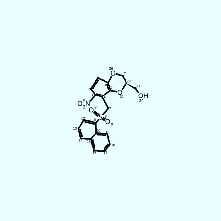 O=[N+]([O-])c1ccc2c(c1CS(=O)(=O)c1cccc3ccccc13)O[C@H](CO)CO2